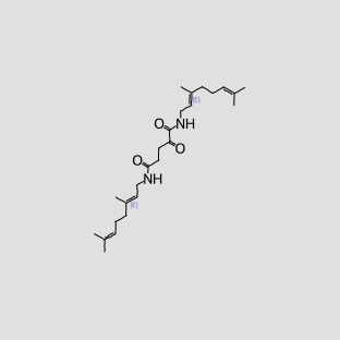 CC(C)=CCC/C(C)=C/CNC(=O)CCC(=O)C(=O)NC/C=C(\C)CCC=C(C)C